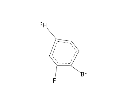 [2H]c1ccc(Br)c(F)c1